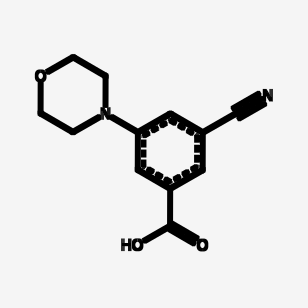 N#Cc1cc(C(=O)O)cc(N2CCOCC2)c1